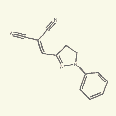 N#CC(C#N)=CC1=NN(c2ccccc2)CC1